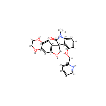 CN1C(=O)C2(COc3cc4c(cc32)OCCO4)c2c(OCc3ccccn3)cccc21